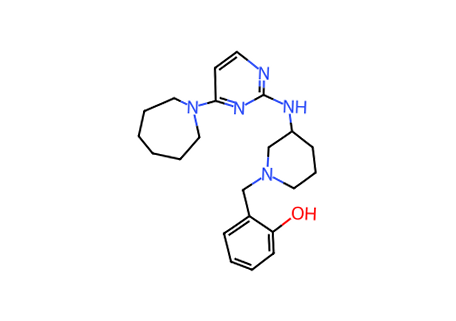 Oc1ccccc1CN1CCCC(Nc2nccc(N3CCCCCC3)n2)C1